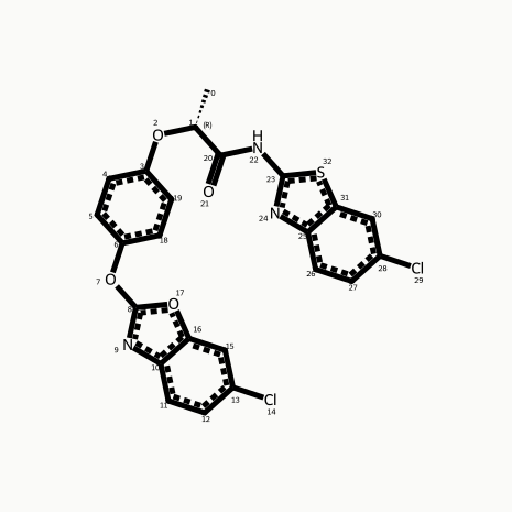 C[C@@H](Oc1ccc(Oc2nc3ccc(Cl)cc3o2)cc1)C(=O)Nc1nc2ccc(Cl)cc2s1